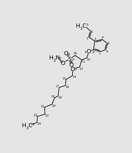 CC=Cc1ccccc1OCC(COCCCCCCCCCCCC)CS(=O)(=O)ON